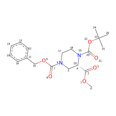 COC(=O)[C@@H]1CN(C(=O)OCc2ccccc2)CCN1C(=O)OC(C)(C)C